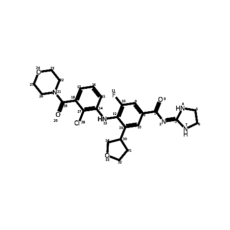 O=C(N=C1NCCN1)c1cc(F)c(Nc2cccc(C(=O)N3CCOCC3)c2Cl)c(C2CCOC2)c1